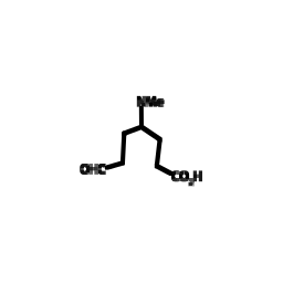 CNC(CCC=O)CCC(=O)O